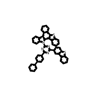 c1ccc(-c2ccc(-c3nc(-c4ccc5sc6ccccc6c5c4)nc(-n4c5ccccc5c5c6ccccc6c6sc7ccccc7c6c54)n3)cc2)cc1